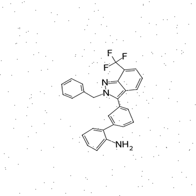 Nc1ccccc1-c1cccc(-c2c3cccc(C(F)(F)F)c3nn2Cc2ccccc2)c1